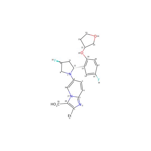 CCc1nc2ccc(N3C[C@@H](F)C[C@@H]3c3cc(F)ccc3OC3CCOC3)cn2c1C(=O)O